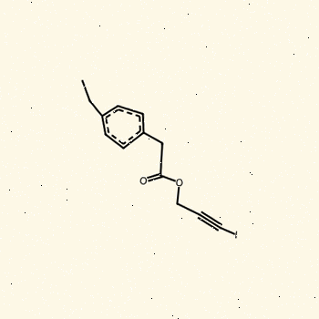 CCc1ccc(CC(=O)OCC#CI)cc1